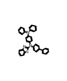 c1ccc(-c2ccc(N(c3ccc(N(c4ccccc4)c4ccccc4)cc3)c3nc4ccccc4s3)cc2)cc1